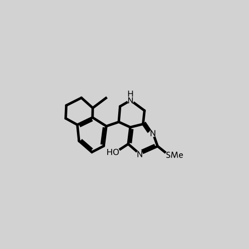 CSc1nc(O)c2c(n1)CNCC2c1cccc2c1C(C)CCC2